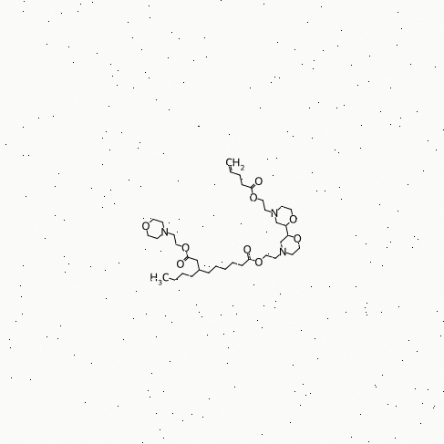 C=CCCC(=O)OCCN1CCOC(C2CN(CCOC(=O)CCCCCC(CCCC)CC(=O)OCCN3CCOCC3)CCO2)C1